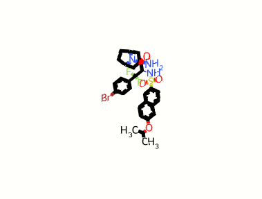 CC(C)Oc1ccc2cc(S(=O)(=O)N[C@@H](C(=O)N3C4CCC3CC(N)C4)C(F)(F)c3ccc(Br)cc3)ccc2c1